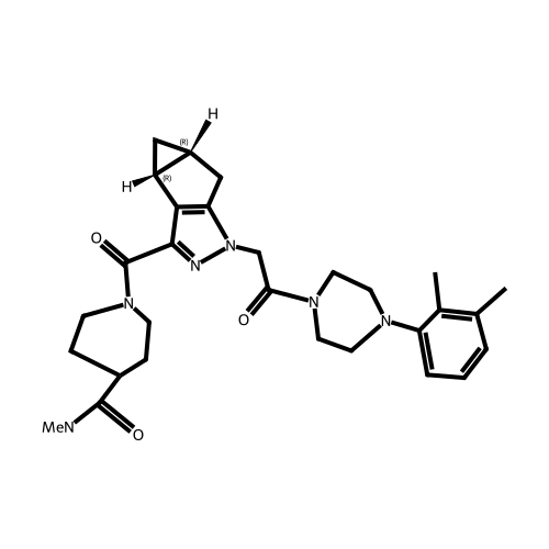 CNC(=O)C1CCN(C(=O)c2nn(CC(=O)N3CCN(c4cccc(C)c4C)CC3)c3c2[C@@H]2C[C@@H]2C3)CC1